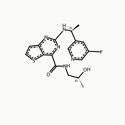 C[C@H](Nc1nc(C(=O)NC[C@@H](C)O)c2sccc2n1)c1cncc(F)c1